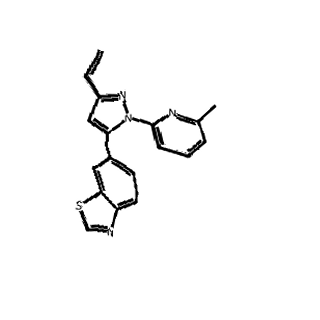 C=Cc1cc(-c2ccc3ncsc3c2)n(-c2cccc(C)n2)n1